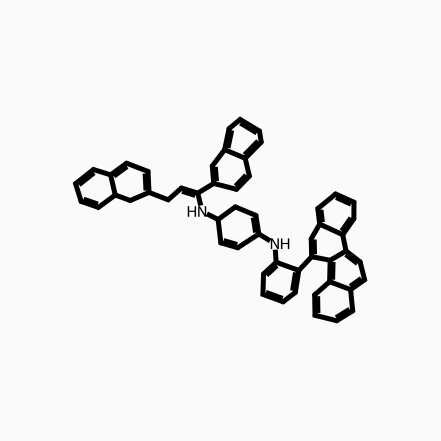 C1=CC2=CC=C(C/C=C(\NC3C=CC(Nc4ccccc4-c4cc5ccccc5c5ccc6ccccc6c45)=CC3)c3ccc4ccccc4c3)CC2C=C1